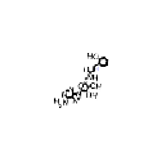 Nc1ncnc2c1ncn2[C@@H]1O[C@H](CNC(=O)/C=C/c2ccccc2O)[C@H](O)C1O